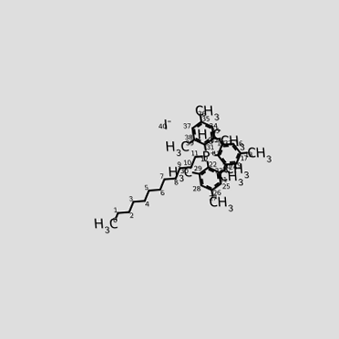 CCCCCCCCCCCC[P+](c1c(C)cc(C)cc1C)(c1c(C)cc(C)cc1C)c1c(C)cc(C)cc1C.[I-]